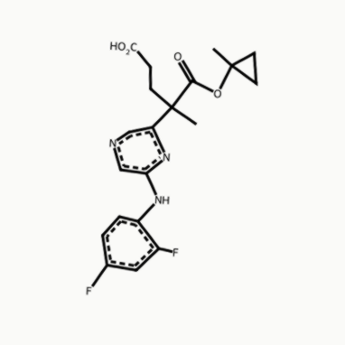 CC1(OC(=O)C(C)(CCC(=O)O)c2cncc(Nc3ccc(F)cc3F)n2)CC1